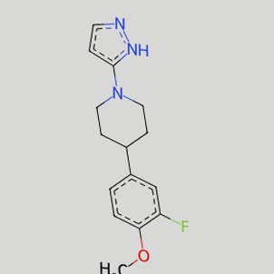 COc1ccc(C2CCN(c3ccn[nH]3)CC2)cc1F